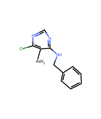 Clc1ncnc(NCc2ccccc2)c1[AsH2]